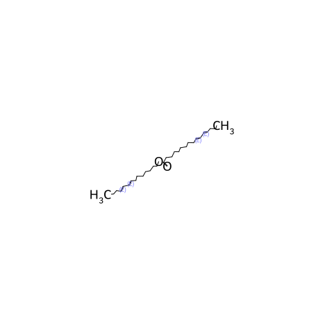 CCC/C=C/C=C/CCCCCCCCC(=O)OCCCCCCC/C=C/C=C/CCC